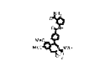 CNC(=O)N1C=C(c2ccc(C(=O)Nc3cccc(C(N)=O)c3)cc2)c2cc(OC)c(OC)cc2CC1C